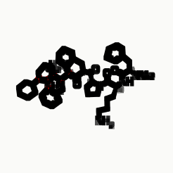 CN[C@@H](Cc1ccccc1)C(=O)N[C@@H](CCCCN)C(=O)N1CCC[C@H]1C(=O)[C](Cc1ccccc1C(=O)N(Cc1ccccc1)C(=O)[C@@H](N)CC1CCCCC1)C(=O)[C@H](N)CC1CCCCC1